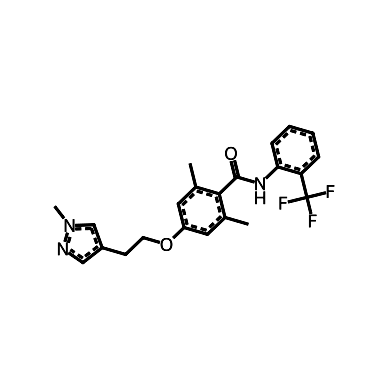 Cc1cc(OCCc2cnn(C)c2)cc(C)c1C(=O)Nc1ccccc1C(F)(F)F